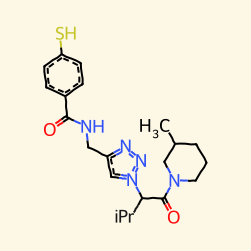 CC1CCCN(C(=O)C(C(C)C)n2cc(CNC(=O)c3ccc(S)cc3)nn2)C1